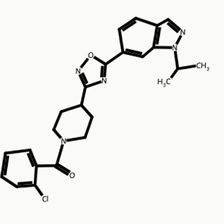 CC(C)n1ncc2ccc(-c3nc(C4CCN(C(=O)c5ccccc5Cl)CC4)no3)cc21